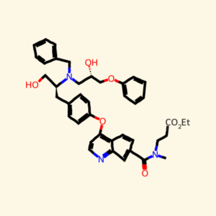 CCOC(=O)CCN(C)C(=O)c1ccc2c(Oc3ccc(C[C@@H](CO)N(Cc4ccccc4)C[C@H](O)COc4ccccc4)cc3)ccnc2c1